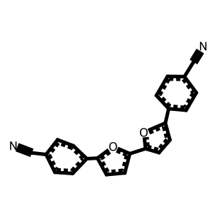 N#Cc1ccc(-c2ccc(-c3ccc(-c4ccc(C#N)cc4)o3)o2)cc1